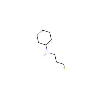 CN(C[C@@H](O)CF)C1CCCCC1